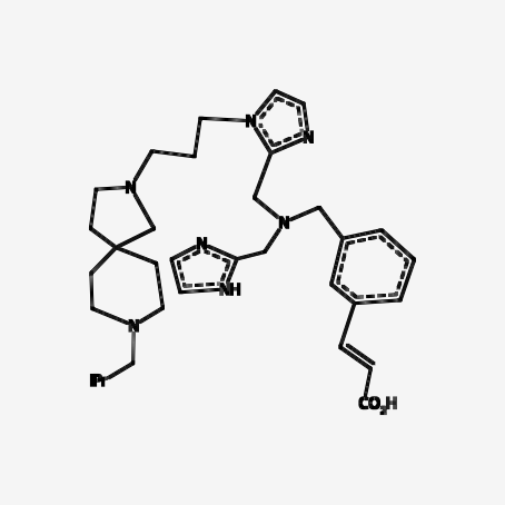 CC(C)CN1CCC2(CC1)CCN(CCCn1ccnc1CN(Cc1cccc(/C=C/C(=O)O)c1)Cc1ncc[nH]1)C2